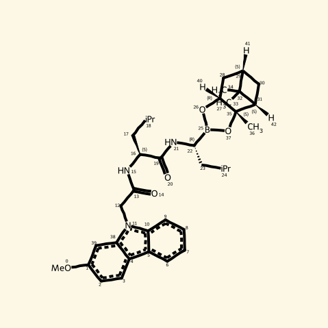 COc1ccc2c3ccccc3n(CC(=O)N[C@@H](CC(C)C)C(=O)N[C@@H](CC(C)C)B3O[C@@H]4C[C@@H]5C[C@@H](C5(C)C)[C@]4(C)O3)c2c1